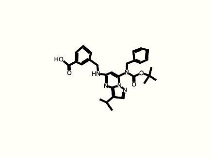 CC(C)c1cnn2c(N(Cc3ccccc3)C(=O)OC(C)(C)C)cc(NCc3cccc(C(=O)O)c3)nc12